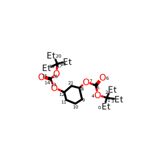 CCC(CC)(CC)OC(=O)OC1CCCC(OC(=O)OC(CC)(CC)CC)C1